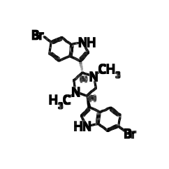 CN1C[C@@H](c2c[nH]c3cc(Br)ccc23)N(C)C[C@@H]1c1c[nH]c2cc(Br)ccc12